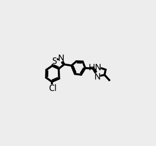 CC1CNC(c2ccc(-c3nsc4ccc(Cl)cc34)cc2)=N1